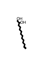 C=CCCCCCCCCCCC(O)CO